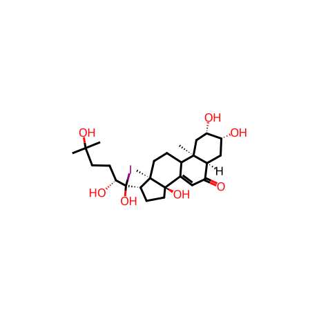 CC(C)(O)CC[C@@H](O)C(O)(I)[C@H]1CC[C@@]2(O)C3=CC(=O)[C@@H]4C[C@@H](O)[C@@H](O)C[C@]4(C)C3CC[C@]12C